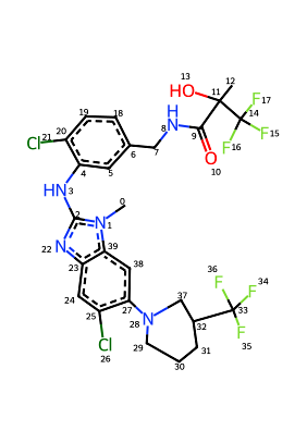 Cn1c(Nc2cc(CNC(=O)C(C)(O)C(F)(F)F)ccc2Cl)nc2cc(Cl)c(N3CCCC(C(F)(F)F)C3)cc21